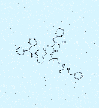 CN[C@H](Cc1ccccc1)C(=O)N[C@@H]1C(=O)N2C(CC[C@H]2C(=O)NC(c2ccccc2)c2ccccc2)C[C@@H]1CCNC(=O)NCc1ccccc1